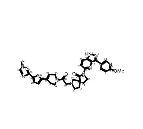 COc1ccc(-c2n[nH]c3ccc(N4CC[C@]5(CCN(CC(=O)N6CC=C(c7ccc(-c8ncn(C)n8)s7)CC6)C5)C4=O)nc23)cn1